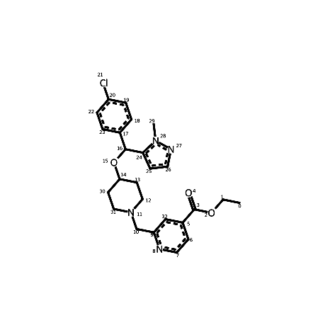 CCOC(=O)c1ccnc(CN2CCC(OC(c3ccc(Cl)cc3)c3ccnn3C)CC2)c1